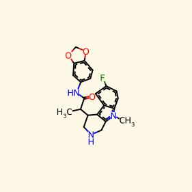 CC(C(=O)Nc1ccc2c(c1)OCO2)C1CNCc2c1c1cc(F)ccc1n2C